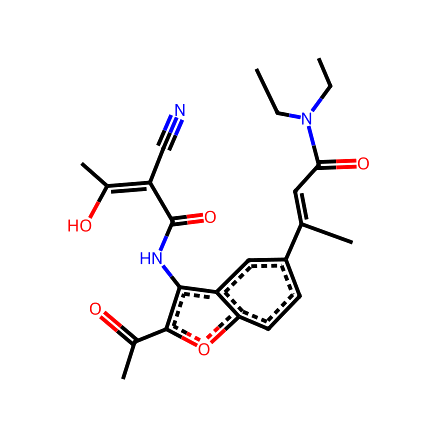 CCN(CC)C(=O)C=C(C)c1ccc2oc(C(C)=O)c(NC(=O)C(C#N)=C(C)O)c2c1